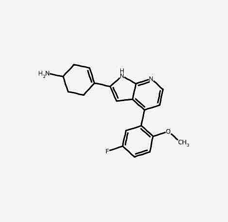 COc1ccc(F)cc1-c1ccnc2[nH]c(C3=CCC(N)CC3)cc12